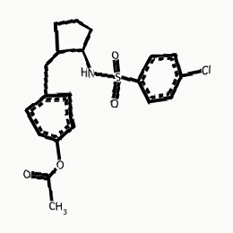 CC(=O)Oc1ccc(CC2CCCC2NS(=O)(=O)c2ccc(Cl)cc2)cc1